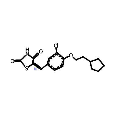 O=C1NC(=O)/C(=C\c2ccc(OCCC3CCCC3)c(Cl)c2)S1